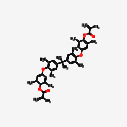 C=C(C)C(=O)Oc1c(C)cc(Oc2c(C)cc(C(C)(C)c3cc(C)c(OC4=CC(C)C(OC(=O)C(=C)C)C(C)=C4)c(C)c3)cc2C)cc1C